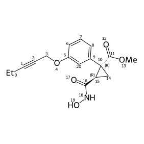 CCC#CCOc1cccc([C@@]2(C(=O)OC)C[C@H]2C(=O)NO)c1